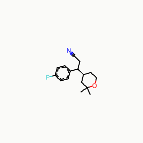 CC1(C)C[C@@H](C(CC#N)c2ccc(F)cc2)CCO1